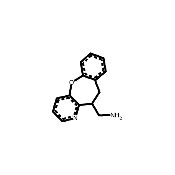 NCC1Cc2ccccc2Oc2cccnc21